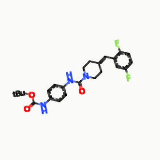 CC(C)(C)OC(=O)Nc1ccc(NC(=O)N2CCC(=Cc3cc(F)ccc3F)CC2)cc1